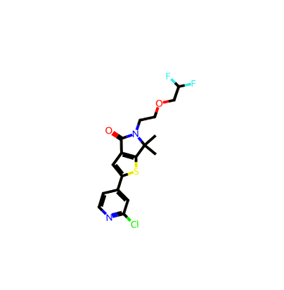 CC1(C)c2sc(-c3ccnc(Cl)c3)cc2C(=O)N1CCOCC(F)F